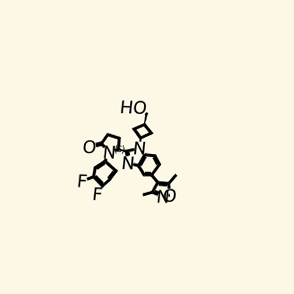 Cc1noc(C)c1-c1ccc2c(c1)nc([C@@H]1CCC(=O)N1c1ccc(F)c(F)c1)n2[C@H]1C[C@@H](CO)C1